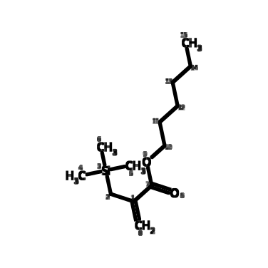 C=C(C[Si](C)(C)C)C(=O)OCCCCCC